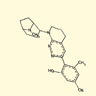 Cc1cc(C#N)cc(O)c1-c1cc2c(nn1)N(C1CCC3CCC1N3C)CCC2